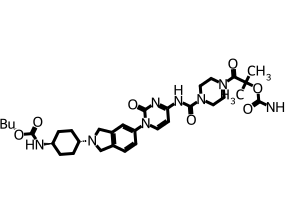 CC(C)(C)OC(=O)N[C@H]1CC[C@H](N2Cc3ccc(-n4ccc(NC(=O)N5CCN(C(=O)C(C)(C)OC(N)=O)CC5)nc4=O)cc3C2)CC1